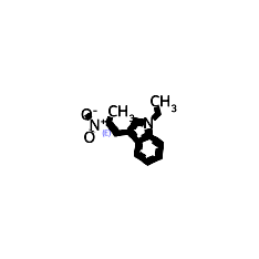 CCn1cc(/C=C(\C)[N+](=O)[O-])c2ccccc21